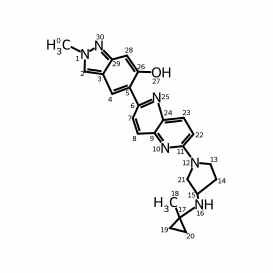 Cn1cc2cc(-c3ccc4nc(N5CCC(NC6(C)CC6)C5)ccc4n3)c(O)cc2n1